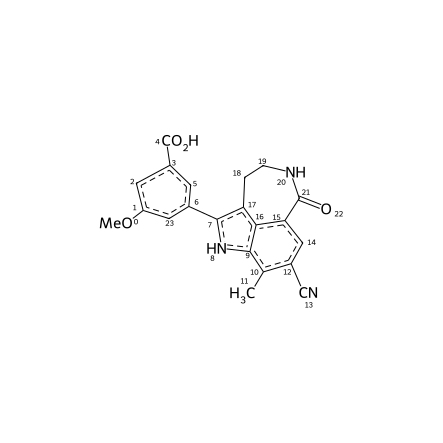 COc1cc(C(=O)O)cc(-c2[nH]c3c(C)c(C#N)cc4c3c2CCNC4=O)c1